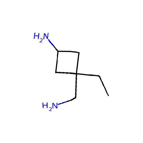 CCC1(CN)CC(N)C1